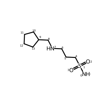 [NH]S(=O)(=O)CCCNCC1CCCC1